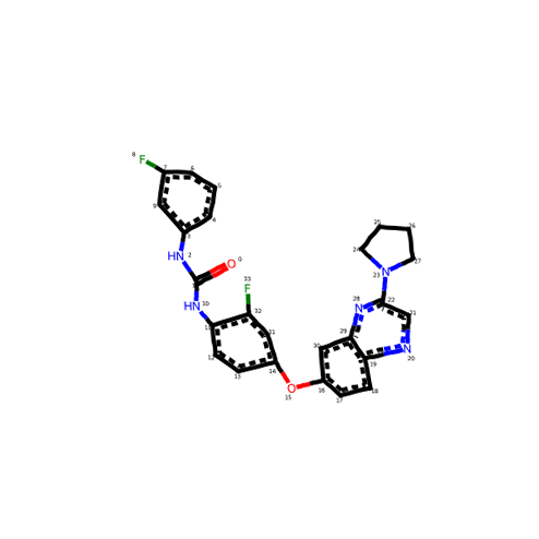 O=C(Nc1cccc(F)c1)Nc1ccc(Oc2ccc3ncc(N4CCCC4)nc3c2)cc1F